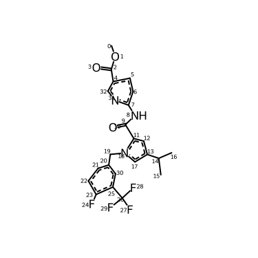 COC(=O)c1ccc(NC(=O)c2cc(C(C)C)cn2Cc2ccc(F)c(C(F)(F)F)c2)nc1